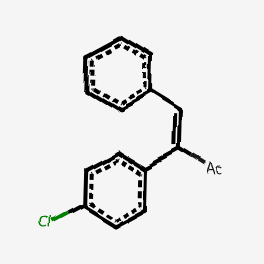 CC(=O)C(=Cc1ccccc1)c1ccc(Cl)cc1